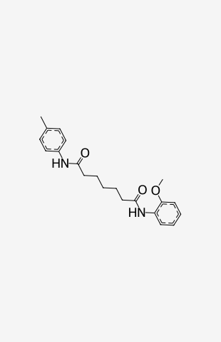 COc1ccccc1NC(=O)CCCCCC(=O)Nc1ccc(C)cc1